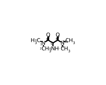 CN(C)C(=O)C([NH])C(=O)N(C)C